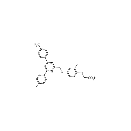 Cc1ccc(-c2nc(COc3ccc(OCC(=O)O)c(C)c3)cc(-c3ccc(C(F)(F)F)cc3)n2)cc1